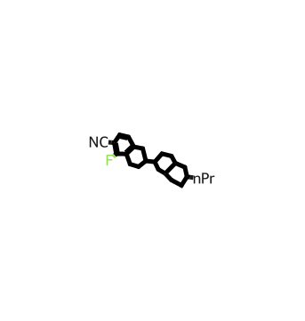 CCCC1CCC2CC(C3CCc4c(ccc(C#N)c4F)C3)CCC2C1